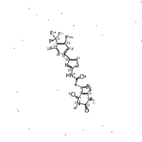 Cn1c(=O)c2c(CC(=O)Nc3nc(-c4cc(F)c(C(F)(F)F)c(F)c4)cs3)nsc2n(C)c1=O